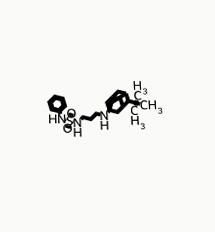 CC(C)(C)C1C2CC3CC1CC(NCCCNS(=O)(=O)Nc1ccccc1)(C3)C2